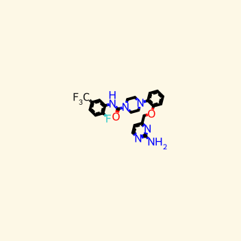 Nc1nccc(COc2ccccc2N2CCN(C(=O)Nc3cc(C(F)(F)F)ccc3F)CC2)n1